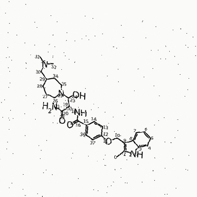 Cc1[nH]c2ccccc2c1COc1ccc(C(=O)N[C@H](C(N)=O)C(O)N2CCCC(CN(C)C)CC2)cc1